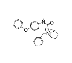 CN(C(=O)OC1C2CCC1N(Cc1ccccc1)C2)c1ccc(Oc2ccccc2)cc1